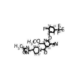 COCc1nc(OCc2cc(C(F)(F)F)ccc2F)c(C#N)cc1C(=O)N1CCC(c2noc(C)n2)CC1